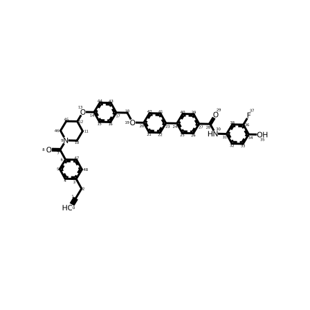 C#CCc1ccc(C(=O)N2CCC(Oc3ccc(COc4ccc(-c5ccc(C(=O)Nc6ccc(O)c(F)c6)cc5)cc4)cc3)CC2)cc1